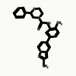 Cc1ccc(-c2ccn3nc(N)cc3c2)cc1NC(=O)N1CCOC(c2ccccc2)C1